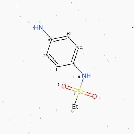 CCS(=O)(=O)Nc1ccc([NH])cc1